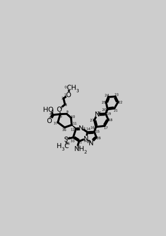 COCCO[C@]1(C(=O)O)CC[C@@H](c2nc3c(-c4ccc(-c5ccccc5)nc4)cnn3c(N)c2SC)CC1